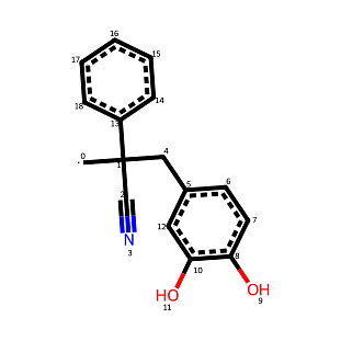 [CH2]C(C#N)(Cc1ccc(O)c(O)c1)c1ccccc1